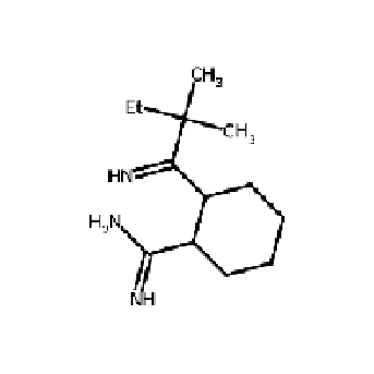 CCC(C)(C)C(=N)C1CCCCC1C(=N)N